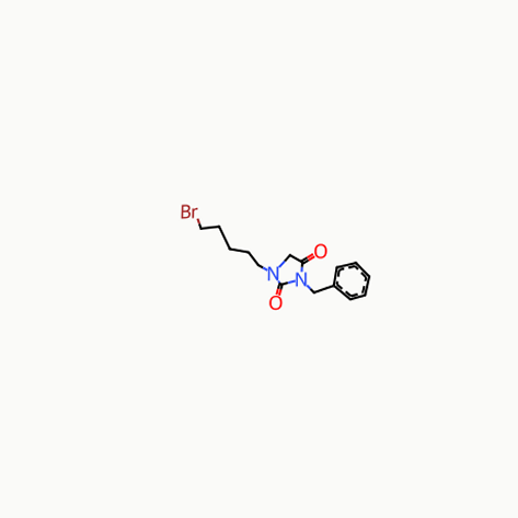 O=C1CN(CCCCCBr)C(=O)N1Cc1ccccc1